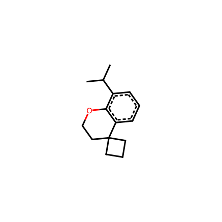 CC(C)c1cccc2c1OCCC21CCC1